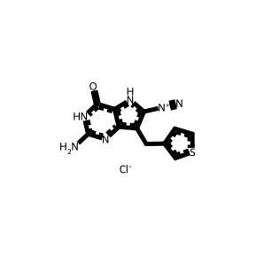 N#[N+]c1[nH]c2c(=O)[nH]c(N)nc2c1Cc1ccsc1.[Cl-]